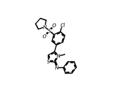 Cn1c(-c2ccc(Cl)c(S(=O)(=O)N3CCCC3)c2)cs/c1=N/c1ccccc1